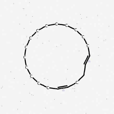 C1=C\CCCCCCCCCCCCCC/C=C/CC/1